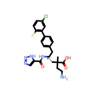 CC(CCN)(C[C@@H](Cc1ccc(-c2cc(Cl)ccc2F)cc1)NC(=O)c1cnn[nH]1)C(=O)O